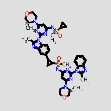 Cc1nc2ccccc2n1-c1nc(N=S(C)(=O)C2CC2c2ccc3c(c2)nc(C)n3-c2nc(N=[S@@](C)(=O)C3CC3)cc(N3CCOC[C@H]3C)n2)cc(N2CCOC[C@H]2C)n1